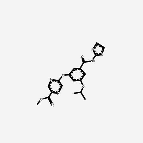 COC(=O)c1cnc(Oc2cc(OC(C)C)cc(C(=O)Nc3nccs3)c2)cn1